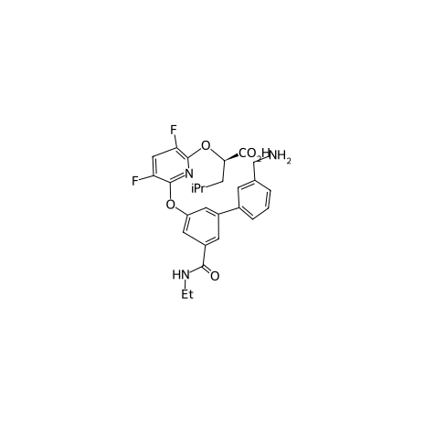 CCNC(=O)c1cc(Oc2nc(O[C@H](CC(C)C)C(=O)O)c(F)cc2F)cc(-c2cccc(CN)c2)c1